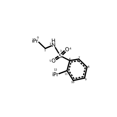 CC(C)CNS(=O)(=O)c1ccccc1C(C)C